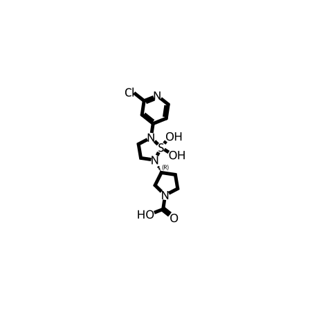 O=C(O)N1CC[C@@H](N2CCN(c3ccnc(Cl)c3)S2(O)O)C1